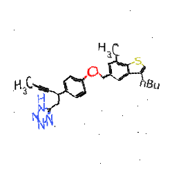 CC#CC(Cc1nnn[nH]1)c1ccc(OCc2cc(C)c3scc(CCCC)c3c2)cc1